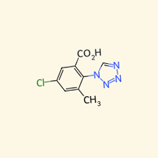 Cc1cc(Cl)cc(C(=O)O)c1-n1cnnn1